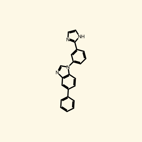 c1ccc(-c2ccc3c(c2)ncn3-c2cccc(-c3ncc[nH]3)c2)cc1